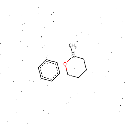 C[SiH]1CCCCO1.c1ccccc1